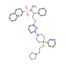 CN(C(COc1ccnc(N2CCC(OCCN3CCCC3)(c3cccnc3)CC2)n1)c1ccccc1)S(=O)(=O)c1ccc2ccccc2c1